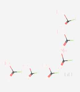 O=C(O)F.O=C(O)F.O=C(O)F.O=C(O)F.O=C(O)F.O=C(O)F.[LiH]